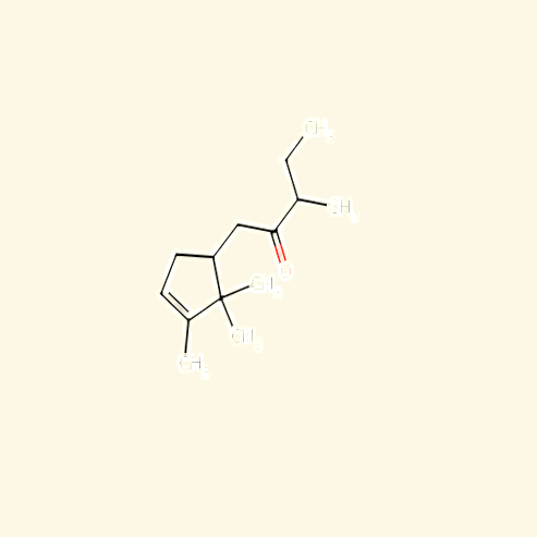 C[CH]C(C)C(=O)CC1CC=C(C)C1(C)C